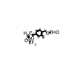 C=C(OS(=O)(=O)C(F)(F)F)c1ccc(COC=O)c(F)c1